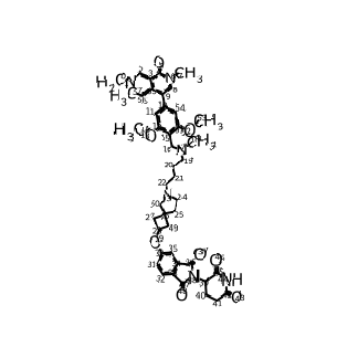 C=N/C=c1/c(=O)n(C)cc(-c2cc(OC)c(CN(C)CCCCN3CCC4(CC(Oc5ccc6c(c5)C(=O)N(C5CCC(=O)NC5=O)C6=O)C4)C3)c(OC)c2)/c1=C/C